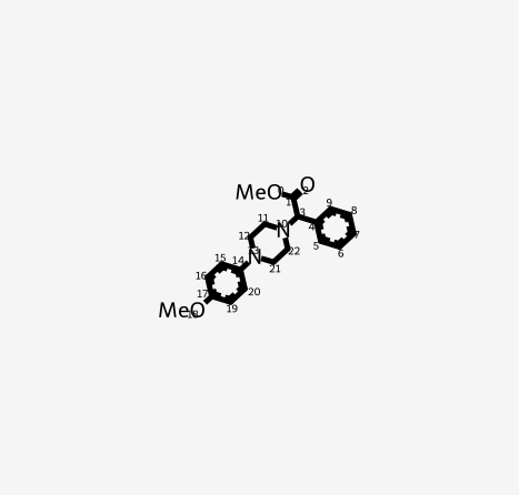 COC(=O)C(c1ccccc1)N1CCN(c2ccc(OC)cc2)CC1